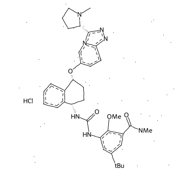 CNC(=O)c1cc(C(C)(C)C)cc(NC(=O)N[C@H]2CC[C@@H](Oc3ccc4nnc([C@@H]5CCCN5C)n4c3)c3ccccc32)c1OC.Cl